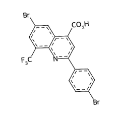 O=C(O)c1cc(-c2ccc(Br)cc2)nc2c(C(F)(F)F)cc(Br)cc12